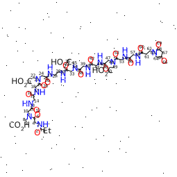 CCC(=O)NCC(=O)N(CC(=O)O)CC(=O)NCC(=O)NCC(=O)N(CC(=O)O)CC(=O)NCCNC(=O)CN(CC(=O)O)C(=O)CNC(=O)CNC(=O)CN(CC(=O)O)C(=O)CNC(=O)CNC(=O)CCN1CC(=O)CC1=O